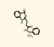 C[C@H](NC(=O)CCc1nc(=O)c2ccccc2[nH]1)c1ccccc1